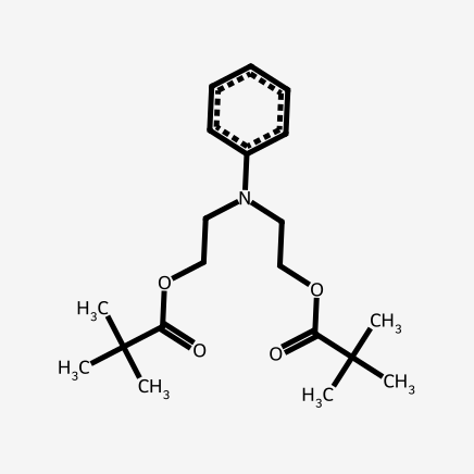 CC(C)(C)C(=O)OCCN(CCOC(=O)C(C)(C)C)c1ccccc1